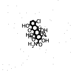 C[C@H]1c2c(Cl)ccc(O)c2C(=O)C2=C(O)[C@]3(O)C(=O)C(C(N)=O)=C(O)[C@@H](N(C)C)[C@@H]3[C@@H](O)[C@@H]21